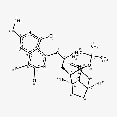 CSc1nc(O)c2c(OC(C)C[C@H]3NC[C@H]4CC[C@@H]3N4C(=O)OC(C)(C)C)nc(Cl)c(F)c2n1